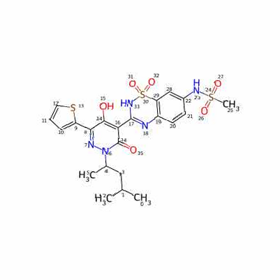 CC(C)CC(C)n1nc(-c2cccs2)c(O)c(C2=Nc3ccc(NS(C)(=O)=O)cc3S(=O)(=O)N2)c1=O